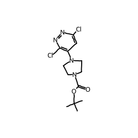 CC(C)(C)OC(=O)N1CCN(c2cc(Cl)nnc2Cl)CC1